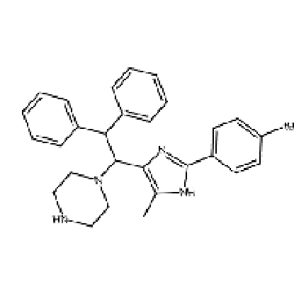 Cc1[nH]c(-c2ccc(C(C)(C)C)cc2)nc1C(C(c1ccccc1)c1ccccc1)N1CCNCC1